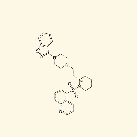 O=S(=O)(c1cccc2ncccc12)N1CCCC[C@H]1CCN1CCN(c2nsc3ccccc23)CC1